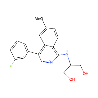 COc1ccc2c(NC(CO)CO)ncc(-c3cccc(F)c3)c2c1